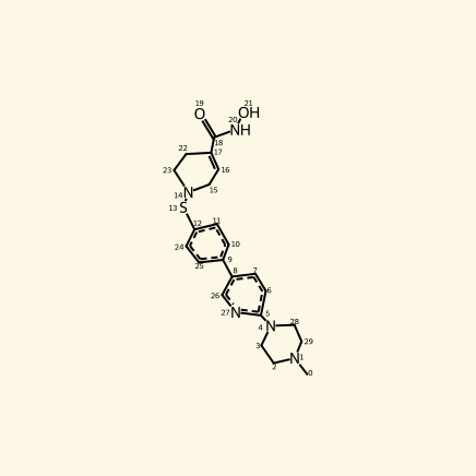 CN1CCN(c2ccc(-c3ccc(SN4CC=C(C(=O)NO)CC4)cc3)cn2)CC1